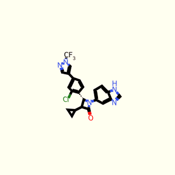 O=C1C(C2CC2)[C@H](c2ccc(-c3cnn(C(F)(F)F)c3)cc2Cl)N1c1ccc2[nH]cnc2c1